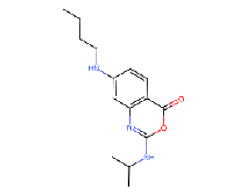 CCCCNc1ccc2c(=O)oc(NC(C)C)nc2c1